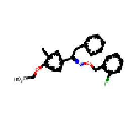 Cc1cc(/C(Cc2ccccc2)=N/OCc2ccccc2F)ccc1OCC(=O)O